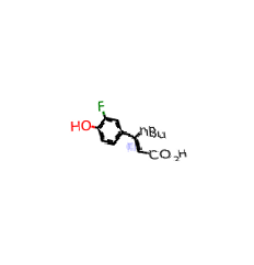 CCCC/C(=C\C(=O)O)c1ccc(O)c(F)c1